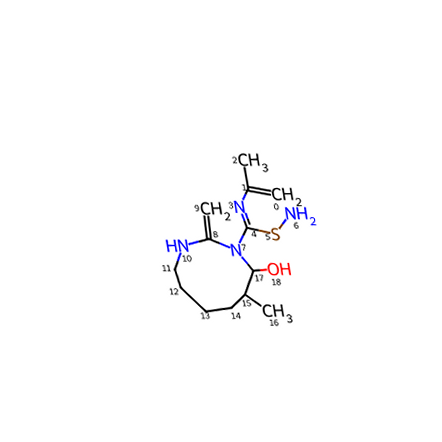 C=C(C)/N=C(\SN)N1C(=C)NCCCCC(C)C1O